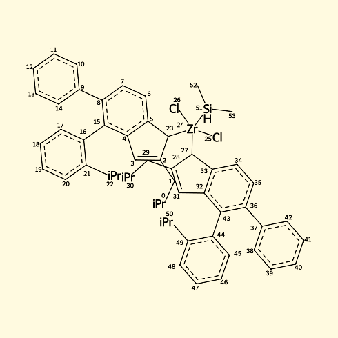 CC(C)CC1=Cc2c(ccc(-c3ccccc3)c2-c2ccccc2C(C)C)[CH]1[Zr]([Cl])([Cl])([CH]1C(CC(C)C)=Cc2c1ccc(-c1ccccc1)c2-c1ccccc1C(C)C)[SiH](C)C